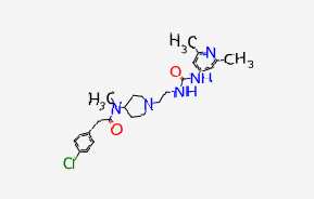 Cc1cc(NC(=O)NCCN2CCC(N(C)C(=O)Cc3ccc(Cl)cc3)CC2)cc(C)n1